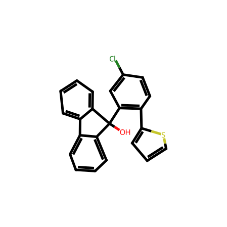 OC1(c2cc(Cl)ccc2-c2cccs2)c2ccccc2-c2ccccc21